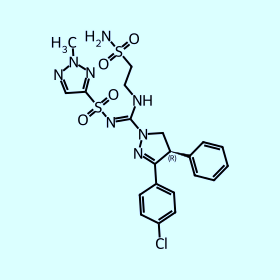 Cn1ncc(S(=O)(=O)N=C(NCCS(N)(=O)=O)N2C[C@@H](c3ccccc3)C(c3ccc(Cl)cc3)=N2)n1